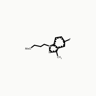 COCCCn1nc(C)c2cc(F)ccc21